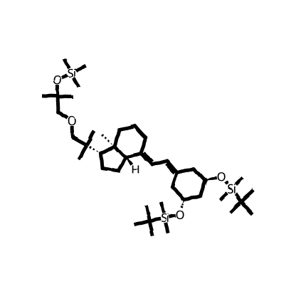 CC(C)(COCC(C)(C)[C@H]1CC[C@H]2/C(=C/C=C3C[C@@H](O[Si](C)(C)C(C)(C)C)C[C@H](O[Si](C)(C)C(C)(C)C)C3)CCC[C@]12C)O[Si](C)(C)C